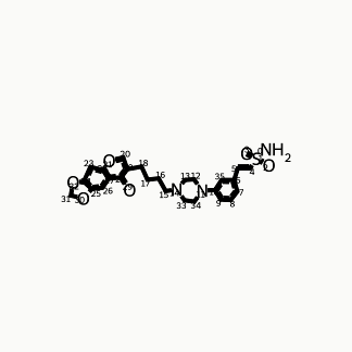 NS(=O)(=O)C=Cc1cccc(N2CCN(CCCCc3coc4cc5c(cc4c3=O)OCO5)CC2)c1